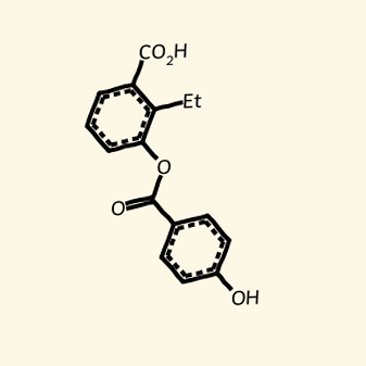 CCc1c(OC(=O)c2ccc(O)cc2)cccc1C(=O)O